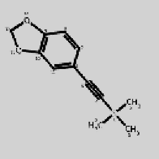 CS(C)(C)C#Cc1ccc2c(c1)OCO2